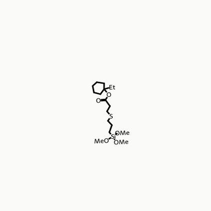 CCC1(OC(=O)CCSCCC[Si](OC)(OC)OC)CCCCC1